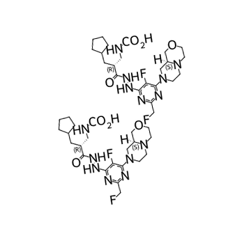 O=C(O)NC[C@@H](CC1CCCC1)C(=O)NNc1nc(CF)nc(N2CCN3CCOC[C@@H]3C2)c1F.O=C(O)NC[C@@H](CC1CCCC1)C(=O)NNc1nc(CF)nc(N2CCN3CCOC[C@@H]3C2)c1F